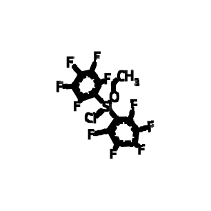 CCO[Si](Cl)(c1c(F)c(F)c(F)c(F)c1F)c1c(F)c(F)c(F)c(F)c1F